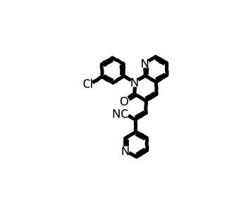 N#CC(=Cc1cc2cccnc2n(-c2cccc(Cl)c2)c1=O)c1cccnc1